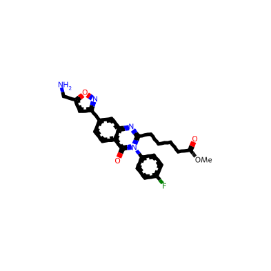 COC(=O)CCCCc1nc2cc(-c3cc(CN)on3)ccc2c(=O)n1-c1ccc(F)cc1